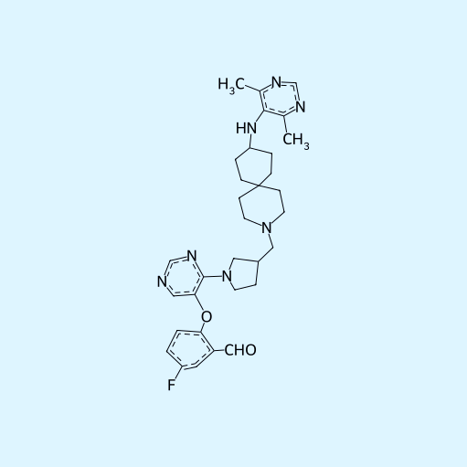 Cc1ncnc(C)c1NC1CCC2(CC1)CCN(CC1CCN(c3ncncc3Oc3ccc(F)cc3C=O)C1)CC2